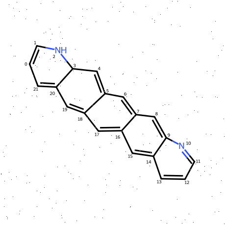 C1=CNC2C=c3cc4cc5ncccc5cc4cc3=CC2=C1